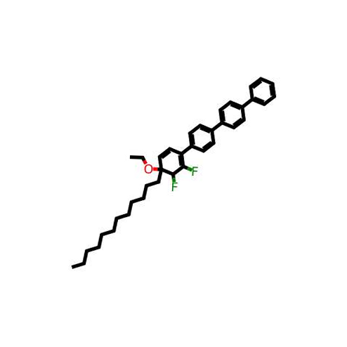 CCCCCCCCCCCCC1(OCC)C=CC(c2ccc(-c3ccc(-c4ccccc4)cc3)cc2)=C(F)C1F